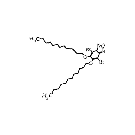 CCCCCCCCCCCCOc1c(OCCCCCCCCCCCC)c(Br)c2nonc2c1Br